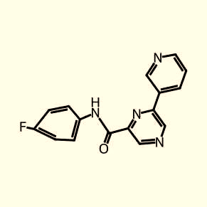 O=C(Nc1ccc(F)cc1)c1cncc(-c2cccnc2)n1